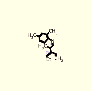 C=C/C(=C\CC)C(C)/C=N\c1ccc(C)cc1C